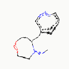 CN1CCOCC1c1cccnc1